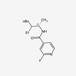 CCCCC(CC)[C@H](C)NC(=O)c1ccnc(F)c1